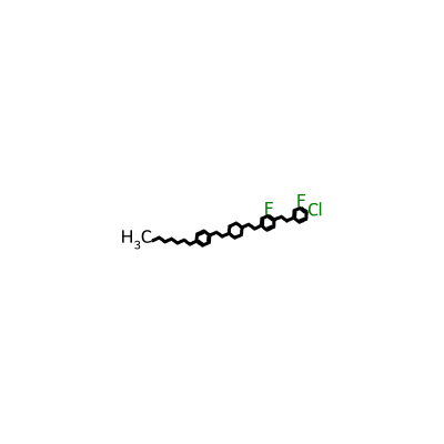 CCCCCCCCc1ccc(CCC2CCC(CCc3ccc(CCc4ccc(Cl)c(F)c4)c(F)c3)CC2)cc1